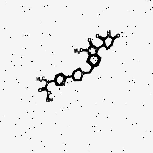 CN(C(=O)OC(C)(C)C)c1ccc(C2CCN(Cc3ccc4c(c3)n(C)c(=O)n4C3CCC(=O)NC3=O)CC2)nc1